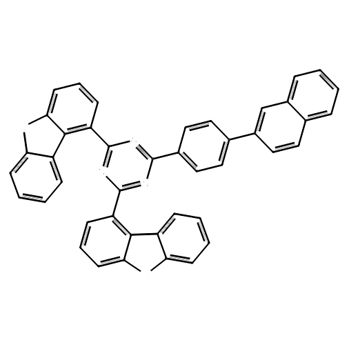 c1ccc2cc(-c3ccc(-c4nc(-c5cccc6oc7ccccc7c56)nc(-c5cccc6oc7ccccc7c56)n4)cc3)ccc2c1